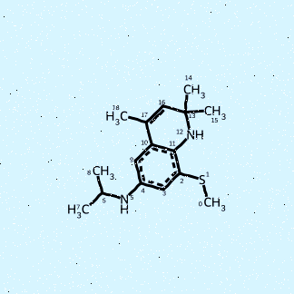 CSc1cc(NC(C)C)cc2c1NC(C)(C)C=C2C